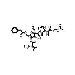 C=NC[C@@]1(c2ccc3c(NC(=O)OCOC(C)=O)ncnn23)O[C@H](COC(=O)Cc2ccccc2)[C@@H](OC(=O)[C@@H](N)C(C)C)[C@H]1O